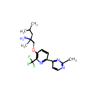 Cc1nccc(-c2ccc(OCC(C)(N)CC(C)C)c(C(F)(F)F)n2)n1